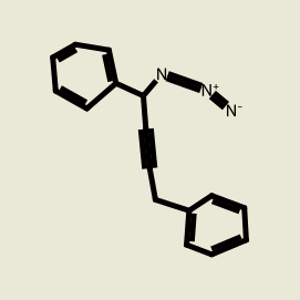 [N-]=[N+]=NC(C#CCc1ccccc1)c1ccccc1